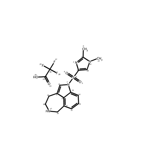 Cc1nc(S(=O)(=O)n2cc3c4c(cccc42)CNCC3)cn1C.O=C(O)C(F)(F)F